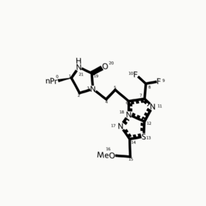 CCC[C@@H]1CN(CCc2c(C(F)F)nc3sc(COC)nn23)C(=O)N1